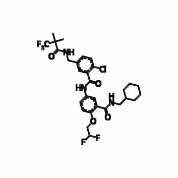 CC(C)(C(=O)NCc1ccc(Cl)c(C(=O)Nc2ccc(OCC(F)F)c(C(=O)NCC3CCCCC3)c2)c1)C(F)(F)F